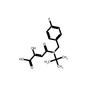 CC(C)(C)N(Cc1ccc(F)cc1)C(=O)C=C(O)C(=O)O